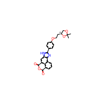 CC1(C)OC[C@H](CCOc2ccc(-c3nc4c(cc5c6c(cccc64)C(=O)OC5=O)[nH]3)cc2)O1